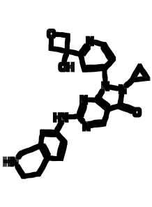 O=c1c2cnc(Nc3ccc4c(c3)CNCC4)nc2n(-c2ccnc(C3(O)COC3)c2)n1C1CC1